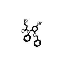 O=C(CCBr)N(c1ccccc1)C1CC(Br)CC1OCc1ccccc1